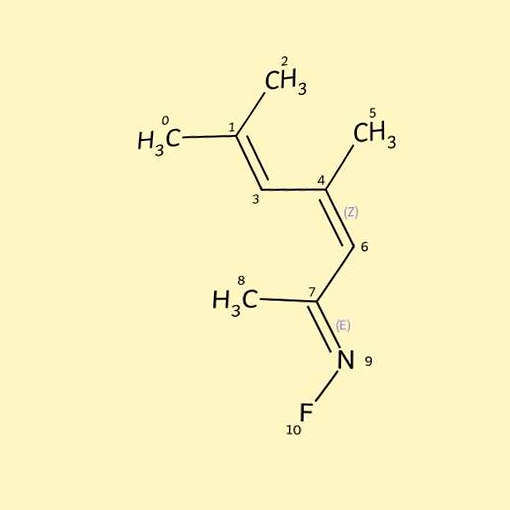 CC(C)=C/C(C)=C\C(C)=N\F